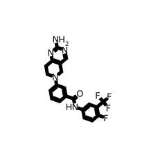 Nc1ncc2c(n1)CCN(c1cccc(C(=O)Nc3ccc(F)c(C(F)(F)F)c3)c1)C2